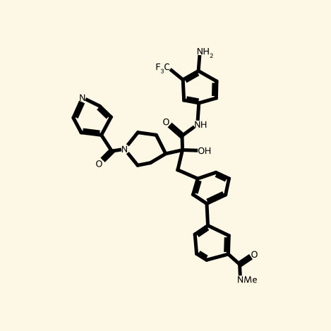 CNC(=O)c1cccc(-c2cccc(CC(O)(C(=O)Nc3ccc(N)c(C(F)(F)F)c3)C3CCN(C(=O)c4ccncc4)CC3)c2)c1